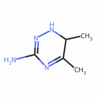 CC1=NC(N)=NNC1C